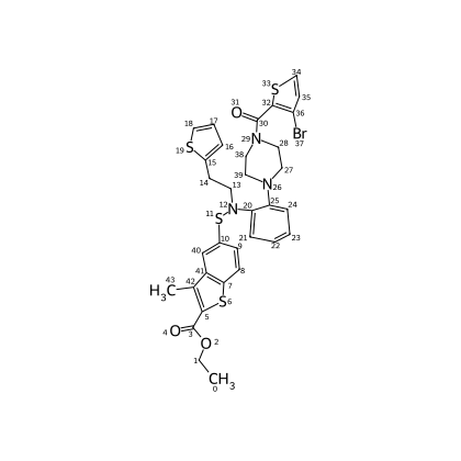 CCOC(=O)c1sc2ccc(SN(CCc3cccs3)c3ccccc3N3CCN(C(=O)c4sccc4Br)CC3)cc2c1C